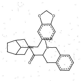 O=C(NC1C2CCC1CN(Cc1ccc3c(c1)OCO3)C2)C1Cc2ccccc2CN1C(=O)O